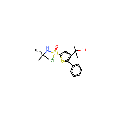 CC(C)(O)c1cc([SH](=O)(Cl)N[Si](C)(C)C(C)(C)C)sc1-c1ccccc1